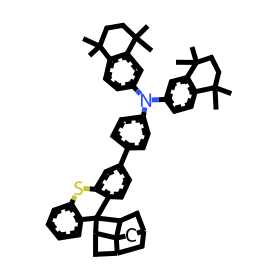 CC1(C)CCC(C)(C)c2cc(N(c3ccc(-c4ccc5c(c4)Sc4ccccc4C54C5CC6CC7CC4C75C6)cc3)c3ccc4c(c3)C(C)(C)CCC4(C)C)ccc21